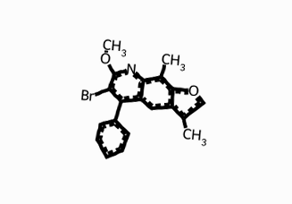 COc1nc2c(C)c3occ(C)c3cc2c(-c2ccccc2)c1Br